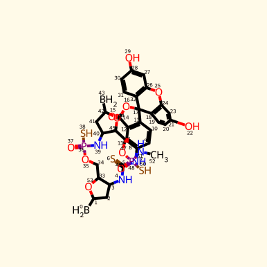 BC1CC(NC(=S)Nc2ccc3c(c2)C(=O)OC32c3ccc(O)cc3Oc3cc(O)ccc32)C(COP(=O)(S)NC2CC(B)OC2COP(=O)(S)NC)O1